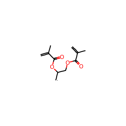 [CH2]C(COC(=O)C(=C)C)OC(=O)C(=C)C